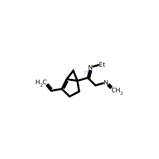 C=CC1=C2CC2(/C(CN=C)=N/CC)CC1